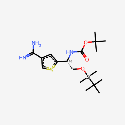 CC(C)(C)OC(=O)N[C@H](CO[Si](C)(C)C(C)(C)C)c1cc(C(=N)N)cs1